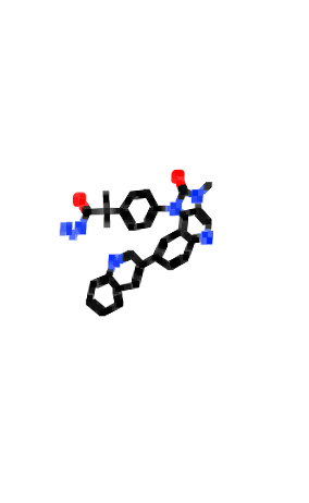 Cn1c(=O)n(-c2ccc(C(C)(C)C(N)=O)cc2)c2c3cc(-c4cnc5ccccc5c4)ccc3ncc21